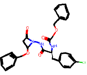 O=C(N[C@@H](Cc1ccc(Cl)cc1)C(=O)NN1C(=O)CC1Oc1ccccc1)OCc1ccccc1